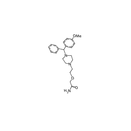 COc1ccc(C(c2ccccc2)N2CCN(CCOCC(N)=O)CC2)cc1